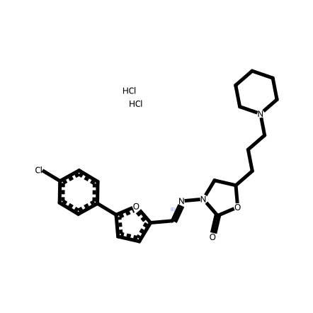 Cl.Cl.O=C1OC(CCCN2CCCCC2)CN1/N=C/c1ccc(-c2ccc(Cl)cc2)o1